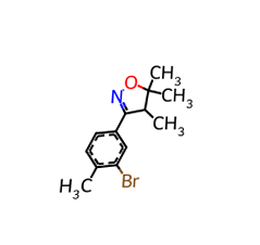 Cc1ccc(C2=NOC(C)(C)C2C)cc1Br